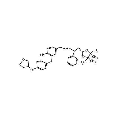 CC1(C)OB(CC(CCCc2ccc(Cl)c(Cc3ccc(O[C@H]4CCOC4)cc3)c2)c2ccccc2)OC1(C)C